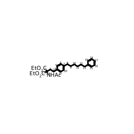 CCOC(=O)C(CCc1ccc(CCCCCCc2ccccc2)cc1)(NC(C)=O)C(=O)OCC